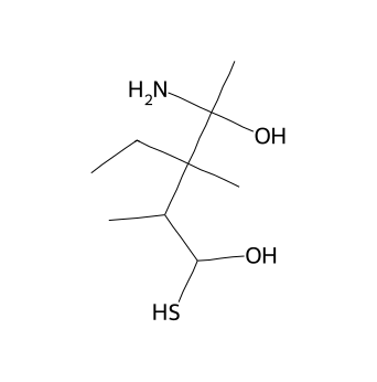 CCC(C)(C(C)C(O)S)C(C)(N)O